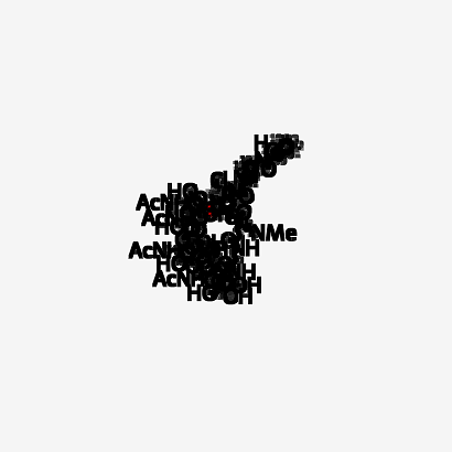 CNCCN(CCC(=O)NCCC(=O)N[C@H]1[C@H](OC2[C@@H](CO)O[C@@H](OC3[C@@H](CO)O[C@@H](OC4[C@@H](CO)O[C@@H](OC5[C@@H](CO)OC(O)[C@H](NC(C)=O)[C@H]5O)[C@H](NC(C)=O)[C@H]4O)[C@H](NC(C)=O)[C@H]3O)[C@H](NC(C)=O)[C@H]2O)O[C@H](CO)[C@@H](O)[C@@H]1O)C(=O)Oc1cc2c(c3c(C)cccc13)[C@H](CCl)CN2C(=O)c1cn2cc(NC(=O)c3cc4ccccc4o3)ccc2n1